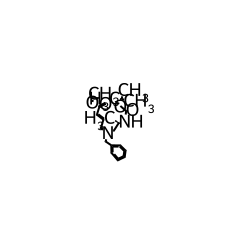 COC(=O)/C=C/CN(Cc1ccccc1)C[C@@H](C)NC(=O)OC(C)(C)C